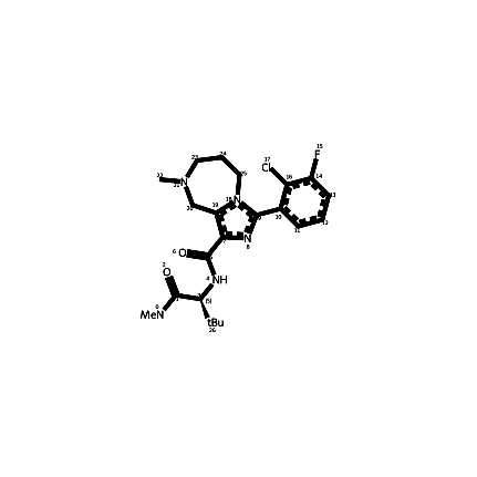 CNC(=O)[C@@H](NC(=O)c1nc(-c2cccc(F)c2Cl)n2c1CN(C)CCC2)C(C)(C)C